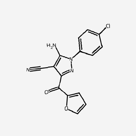 N#Cc1c(C(=O)c2ccco2)nn(-c2ccc(Cl)cc2)c1N